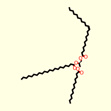 CCCCCCCCCC/C=C\CCCCCCCCCC(=O)OC[C@@H](COC(=O)CCCCCCCCCCCC)OC(=O)CCCCCCCCCCCCCCCCCCCC